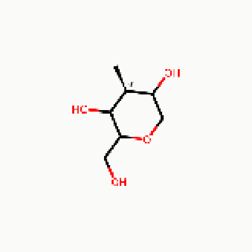 C[C@H]1C(O)COC(CO)C1O